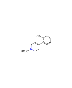 CC(=O)c1ccccc1C1=CCN(C(=O)O)CC1